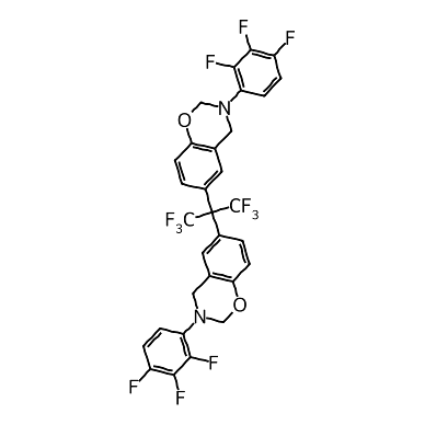 Fc1ccc(N2COc3ccc(C(c4ccc5c(c4)CN(c4ccc(F)c(F)c4F)CO5)(C(F)(F)F)C(F)(F)F)cc3C2)c(F)c1F